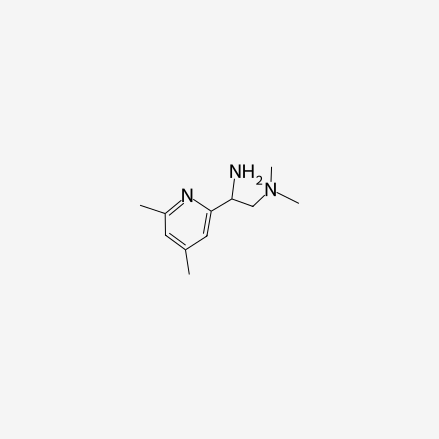 Cc1cc(C)nc(C(N)CN(C)C)c1